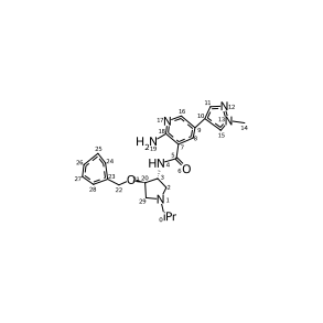 CC(C)N1C[C@@H](NC(=O)c2cc(-c3cnn(C)c3)cnc2N)[C@H](OCc2ccccc2)C1